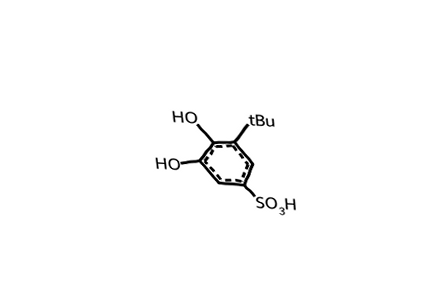 CC(C)(C)c1cc(S(=O)(=O)O)cc(O)c1O